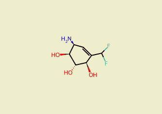 N[C@H]1C=C(C(F)F)[C@@H](O)[C@H](O)[C@H]1O